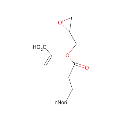 C=CC(=O)O.CCCCCCCCCCCC(=O)OCC1CO1